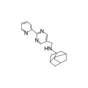 c1ccc(-c2ncc(CNC34CC5CC(CC(C5)C3)C4)cn2)nc1